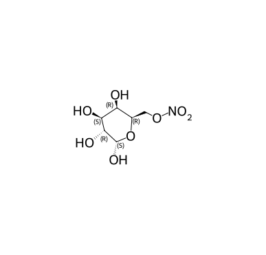 O=[N+]([O-])OC[C@H]1O[C@H](O)[C@H](O)[C@@H](O)[C@H]1O